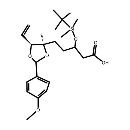 C=C[C@@H]1OC(c2ccc(OC)cc2)O[C@]1(C)CCC(CC(=O)O)O[Si](C)(C)C(C)(C)C